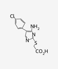 Nc1nc(SCC(=O)O)ncc1-c1ccc(Cl)cc1